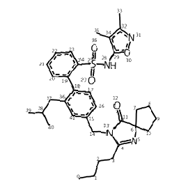 CCCCC1=NC2(CCCC2)C(=O)N1Cc1ccc(-c2ccccc2S(=O)(=O)Nc2onc(C)c2C)c(CC(C)C)c1